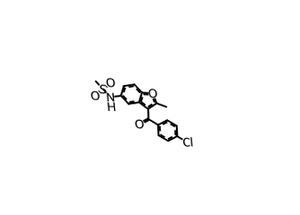 Cc1oc2ccc(NS(C)(=O)=O)cc2c1C(=O)c1ccc(Cl)cc1